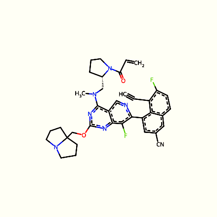 C#Cc1c(F)ccc2cc(C#N)cc(-c3ncc4c(N(C)C[C@@H]5CCCN5C(=O)C=C)nc(OCC56CCCN5CCC6)nc4c3F)c12